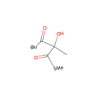 CCC(C)C(=O)C(C)(O)C(=O)SC